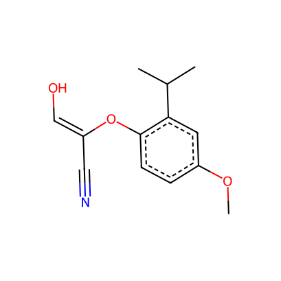 COc1ccc(O/C(C#N)=C\O)c(C(C)C)c1